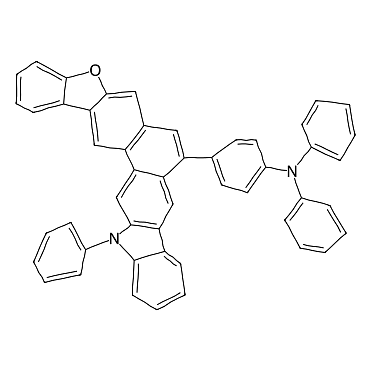 c1ccc(N(c2ccccc2)c2ccc(-c3cc4cc5oc6ccccc6c5cc4c4cc5c(cc34)c3ccccc3n5-c3ccccc3)cc2)cc1